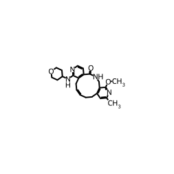 COc1nc(C)cc2c1CNC(=O)c1ccnc(NC3CCOCC3)c1CC=CCC2